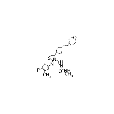 CNC(=O)NCCn1c(-c2ccc(CCN3CCOCC3)cc2)csc1=Nc1ccc(F)c(C)c1